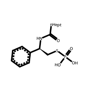 CCCCCCCC(=O)N[C@@H](CSP(=O)(O)O)c1ccccc1